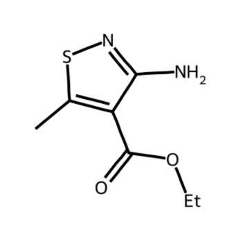 CCOC(=O)c1c(N)nsc1C